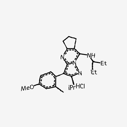 CCC(CC)Nc1c2c(nc3c(-c4ccc(OC)cc4C)c(C(C)C)nn13)CCC2.Cl